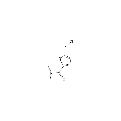 CN(C)C(=O)c1ccc(CCl)o1